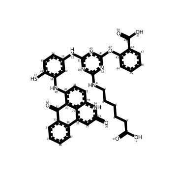 O=C(O)CCCCCNc1nc(Nc2ccc(S)c(Nc3ccc4[nH]c(=O)cc5c4c3C(=O)c3ccccc3-5)c2)nc(Oc2ccccc2C(=O)O)n1